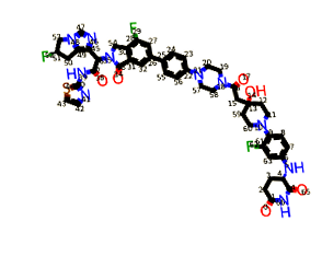 O=C1CC[C@@H](Nc2ccc(N3CCC(O)(CC(=O)N4CCN(c5ccc(-c6cc(F)c7c(c6)C(=O)N(C(C(=O)Nc6nccs6)c6ncn8c6C[C@@H](F)C8)C7)cc5)CC4)CC3)c(F)c2)C(=O)N1